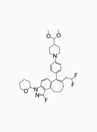 COC(OC)C1CCN(c2ccc(C3=C(CC(F)F)CCCc4c3ccc3c4c(F)nn3C3CCCCO3)cc2)CC1